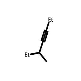 [CH2]CC(C)C#CCC